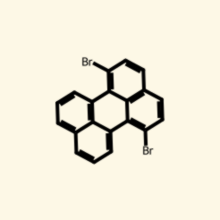 Brc1ccc2ccc(Br)c3c4cccc5cccc(c1c23)c54